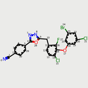 N#Cc1ccc(-c2nnc(Cc3ccc(Cl)c(Oc4cc(Cl)cc(Br)c4)c3F)o2)cc1